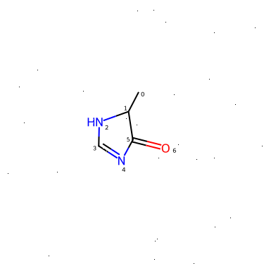 CC1NC=NC1=O